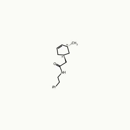 CC(C)CCNC(=O)C[C@H]1CC=C[C@H](C)C1